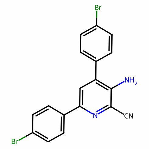 N#Cc1nc(-c2ccc(Br)cc2)cc(-c2ccc(Br)cc2)c1N